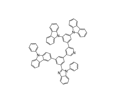 c1ccc(-n2c(-c3cc(-c4cncc(-c5cc(-n6c7ccccc7c7ccccc76)cc(-n6c7ccccc7c7ccccc76)c5)c4)cc(-c4ccc5c(c4)c4ccccc4n5-c4ccccc4)c3)nc3ccccc32)cc1